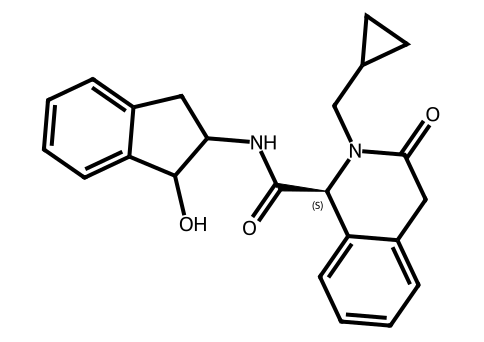 O=C(NC1Cc2ccccc2C1O)[C@@H]1c2ccccc2CC(=O)N1CC1CC1